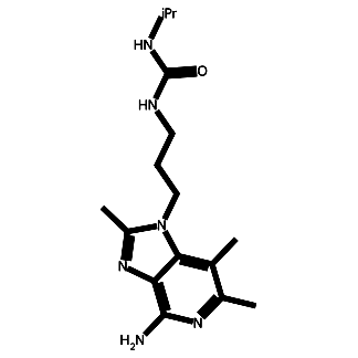 Cc1nc(N)c2nc(C)n(CCCNC(=O)NC(C)C)c2c1C